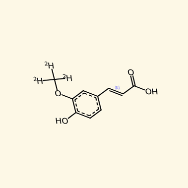 [2H]C([2H])([2H])Oc1cc(/C=C/C(=O)O)ccc1O